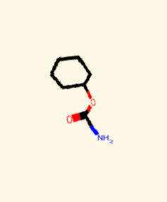 NC(=O)O[C]1CCCCC1